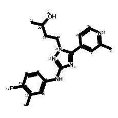 Cc1cc(-c2nc(Nc3ccc(F)c(C)c3)nn2CCC(C)O)ccn1